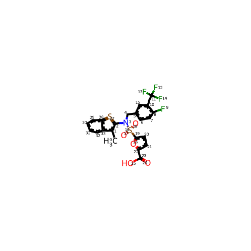 Cc1c(N(Cc2ccc(F)c(C(F)(F)F)c2)S(=O)(=O)c2ccc(C(=O)O)o2)sc2ccccc12